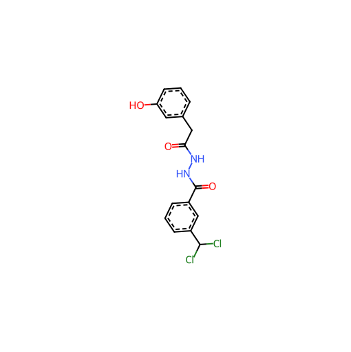 O=C(Cc1cccc(O)c1)NNC(=O)c1cccc(C(Cl)Cl)c1